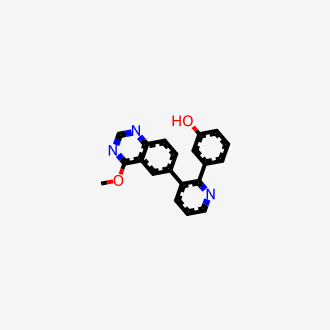 COc1ncnc2ccc(-c3cccnc3-c3cccc(O)c3)cc12